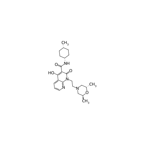 C[C@H]1CN(CCn2c(=O)c(C(=O)N[C@H]3CC[C@@H](C)CC3)c(O)c3cccnc32)C[C@H](C)O1